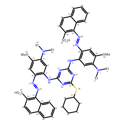 CCN(CC)c1cc(Nc2nc(Nc3cc(N(CC)CC)c(OC)cc3/N=N/c3c(S(=O)(=O)O)ccc4ccccc34)nc(SC3CCCCC3)n2)c(/N=N/c2c(S(=O)(=O)O)ccc3ccccc23)cc1OC